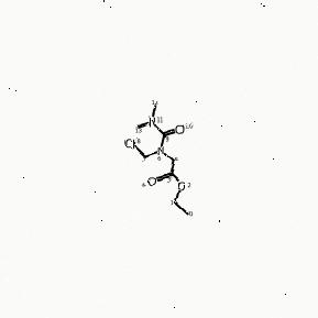 CCOC(=O)CN(CCl)C(=O)N(C)C